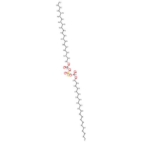 CCCCCCCCCCCCCCCCCCCCCCOC(=O)O[PH](=O)OC(=O)OCCCCCCCCCCCCCCCCCCCCCC